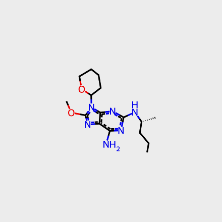 CCC[C@@H](C)Nc1nc(N)c2nc(OC)n(C3CCCCO3)c2n1